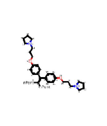 CCCCCC(CCCCC)=C(c1ccc(OCCCN2CCCC2)cc1)c1ccc(OCCCN2CCCC2)cc1